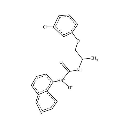 CC(COc1cccc(Cl)c1)NC(=O)[NH+]([O-])c1cccc2cnccc12